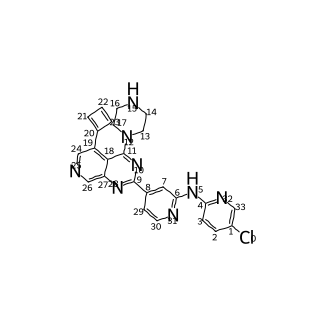 Clc1ccc(Nc2cc(-c3nc(N4CCNCC4)c4c(C5=CC=C5)cncc4n3)ccn2)nc1